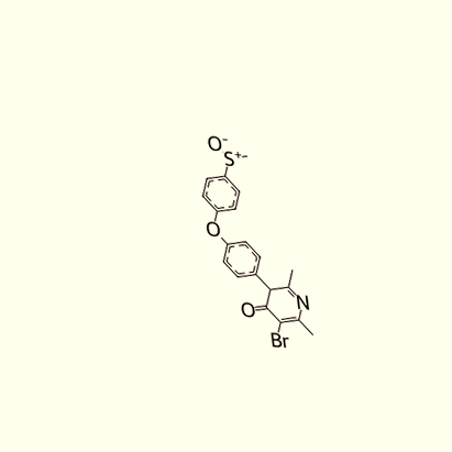 CC1=NC(C)=C(Br)C(=O)C1c1ccc(Oc2ccc([S+](C)[O-])cc2)cc1